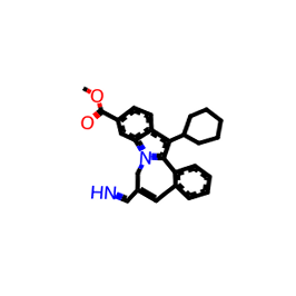 COC(=O)c1ccc2c(C3CCCCC3)c3n(c2c1)CC(C=N)=Cc1ccccc1-3